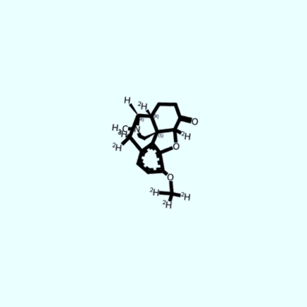 [2H]C([2H])([2H])Oc1ccc2c3c1OC1([2H])C(=O)CC[C@@]4([2H])[C@H](N(C)CC[C@]314)C2([2H])[2H]